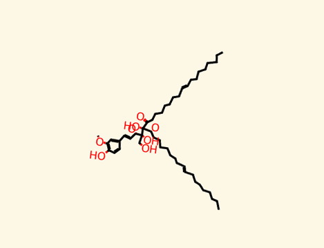 CCCCCCCCC=CCCCCCCCC(=O)C(O)(C(=O)CCCCCCCC=CCCCCCCCC)C(O)(CO)C(=O)C=Cc1ccc(O)c(OC)c1